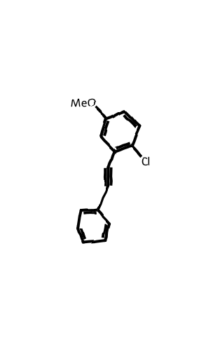 COc1ccc(Cl)c(C#Cc2ccccc2)c1